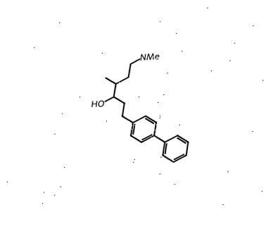 CNCCC(C)C(O)CCc1ccc(-c2ccccc2)cc1